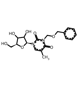 Cc1cn([C@H]2O[C@@H](CO)C(O)C2O)c(=O)n(COCc2ccccc2)c1=O